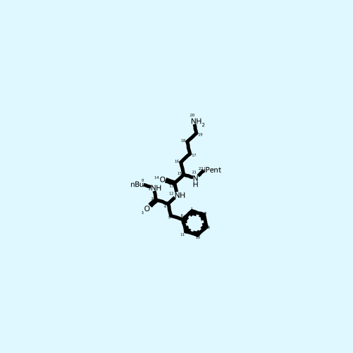 CCCCNC(=O)C(Cc1ccccc1)NC(=O)C(CCCCN)NC(C)CCC